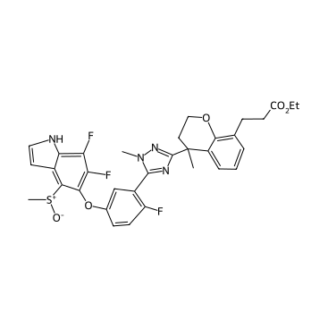 CCOC(=O)CCc1cccc2c1OCCC2(C)c1nc(-c2cc(Oc3c(F)c(F)c4[nH]ccc4c3[S+](C)[O-])ccc2F)n(C)n1